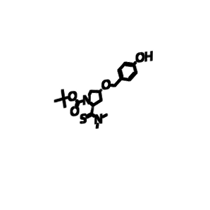 CN(C)C(=S)[C@@H]1C[C@@H](OCc2ccc(O)cc2)CN1C(=O)OC(C)(C)C